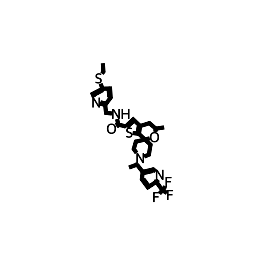 CCSc1ccc(CNC(=O)c2cc3c(s2)C2(CCN(C(C)c4ccc(C(F)(F)F)nc4)CC2)OC(C)C3)nc1